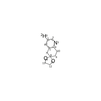 [2H]c1cnc2c(c1)CC1(CC2)OCCO1